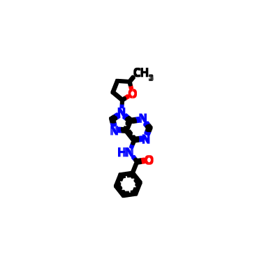 CC1CCC(n2cnc3c(NC(=O)c4ccccc4)ncnc32)O1